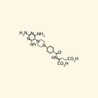 CCCc1nc(N)nc(N)c1N1CCN(c2ccc(C(=O)N[C@@H](CCC(=O)O)C(=O)O)cc2)CC1